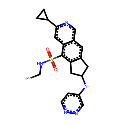 CC(C)CNS(=O)(=O)c1c2c(cc3cnc(C4CC4)cc13)CC(Nc1ccnnc1)C2